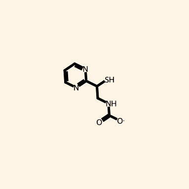 [O]C(=O)NCC(S)c1ncccn1